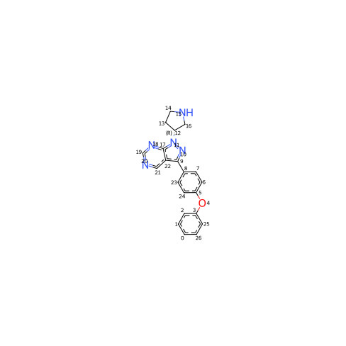 c1ccc(Oc2ccc(-c3nn([C@@H]4CCNC4)c4ncncc34)cc2)cc1